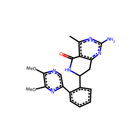 COc1ncc(-c2ccccc2C2Cc3nc(N)nc(C)c3C(=O)N2)nc1OC